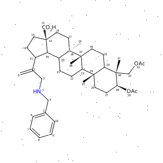 C=C(CNCc1ccccc1)C1CC[C@]2(C(=O)O)CC[C@]3(C)C(CCC4[C@@]5(C)CC[C@H](OC(C)=O)[C@@](C)(COC(C)=O)C5CC[C@]43C)C12